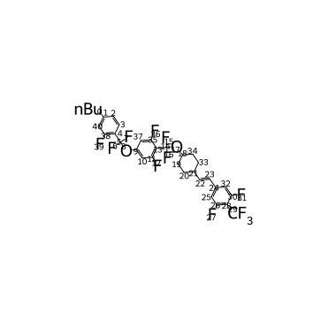 CCCCc1ccc(C(F)(F)Oc2cc(F)c(C(F)(F)OC3CCC(/C=C/c4cc(F)c(C(F)(F)F)c(F)c4)CC3)c(F)c2)c(F)c1